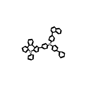 c1ccc(-c2ccc(N(c3ccc(-c4ccc5c(c4)-c4ccccc4-c4ccccc4N5c4ccccc4)cc3)c3ccc(-c4cccc5ccccc45)cc3)cc2)cc1